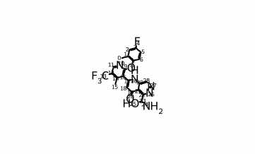 Cc1cc(F)ccc1Oc1ncc(C(F)(F)F)c(C)c1-c1cc(=O)c2c(C(N)O)nncc2[nH]1